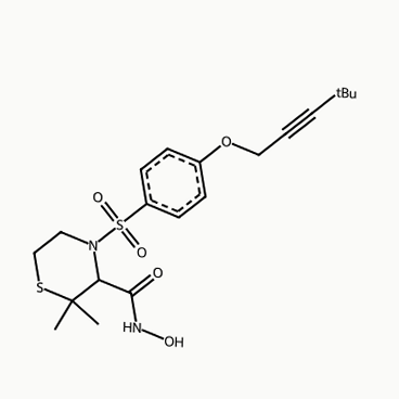 CC(C)(C)C#CCOc1ccc(S(=O)(=O)N2CCSC(C)(C)C2C(=O)NO)cc1